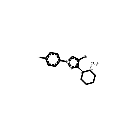 O=C(O)[C@@H]1CCCC[C@H]1c1nn(-c2ccc(F)cc2)cc1Br